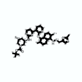 Cc1nc(CSNc2c(F)ccc3c(Oc4ncccc4-c4ccnc(N[C@@H]5C[C@@H](F)CN(C(=O)OC(C)(C)C)C5)n4)c(C)ccc23)cs1